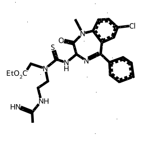 CCOC(=O)CN(CCNC(C)=N)C(=S)NC1N=C(c2ccccc2)c2cc(Cl)ccc2N(C)C1=O